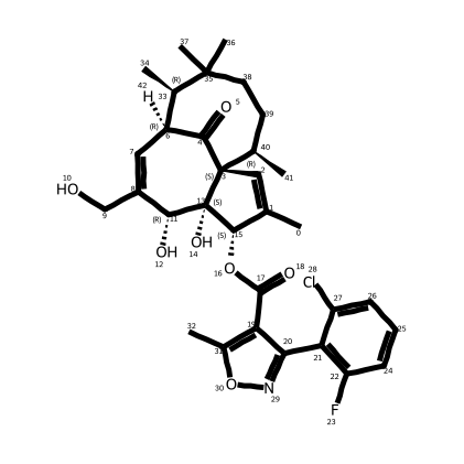 CC1=C[C@]23C(=O)[C@@H](C=C(CO)[C@@H](O)[C@]2(O)[C@H]1OC(=O)c1c(-c2c(F)cccc2Cl)noc1C)[C@@H](C)C(C)(C)CC[C@H]3C